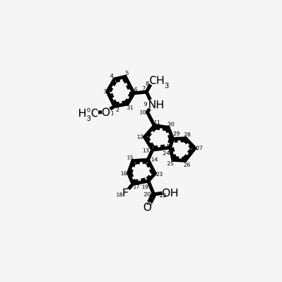 COc1cccc(C(C)NCc2cc(-c3ccc(F)c(C(=O)O)c3)c3ccccc3c2)c1